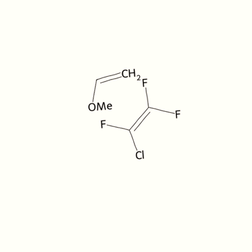 C=COC.FC(F)=C(F)Cl